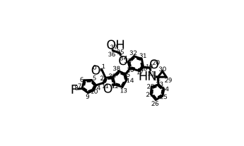 O=Cc1c(-c2ccc(F)cc2)oc2ccc(-c3cc(C(=O)NC4(c5ccccc5)CC4)ccc3OCCO)cc12